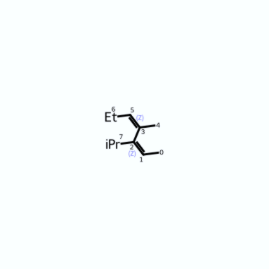 C/C=C(\C(C)=C/CC)C(C)C